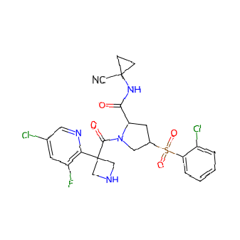 N#CC1(NC(=O)C2CC(S(=O)(=O)c3ccccc3Cl)CN2C(=O)C2(c3ncc(Cl)cc3F)CNC2)CC1